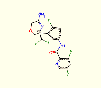 NC1=N[C@@](c2cc(NC(=O)c3ncc(F)cc3F)ccc2F)(C(F)F)COC1